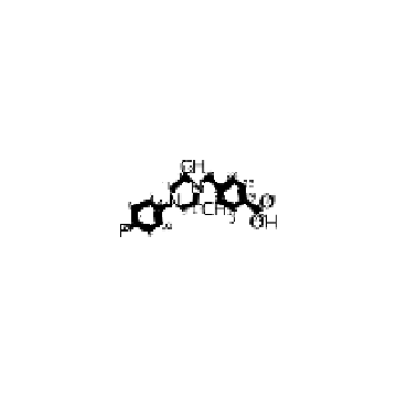 C[C@@H]1CN(c2ccc(F)cc2)C[C@H](C)N1Cc1ccc(C(=O)O)cc1